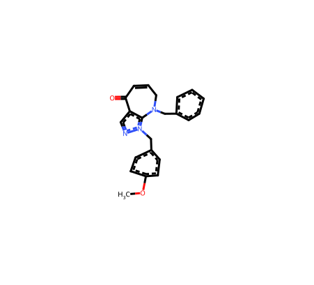 COc1ccc(Cn2ncc3c2N(Cc2ccccc2)CC=CC3=O)cc1